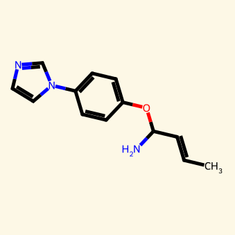 CC=CC(N)Oc1ccc(-n2ccnc2)cc1